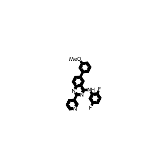 COc1cccc(-c2ccc3nc(-c4cccnc4)nc(Nc4cc(F)ccc4F)c3c2)c1